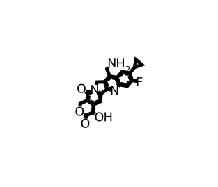 NCc1c2c(nc3cc(F)c(C4CC4)cc13)-c1cc3c(c(=O)n1C2)COC(=O)C3O